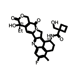 CC[C@@]1(O)C(=O)OCc2c1cc1n(c2=O)Cc2c-1nc1cc(F)c(C)c3c1c2[C@@H](NC(=O)C1(CO)CCC1)CC3